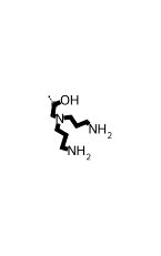 C[C@H](O)CN(CCCN)CCCN